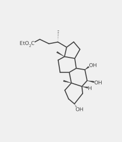 CCOC(=O)CC[C@H](C)C1CCC2C3C(CC[C@@]21C)[C@@]1(C)CC[C@@H](O)C[C@H]1[C@H](O)[C@@H]3O